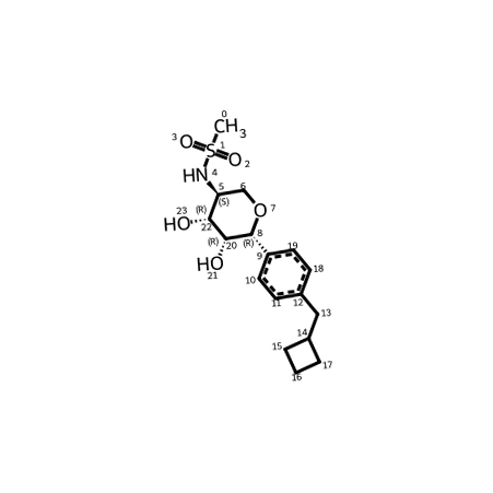 CS(=O)(=O)N[C@H]1CO[C@H](c2ccc(CC3CCC3)cc2)[C@H](O)[C@@H]1O